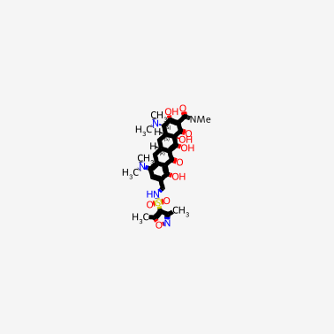 CNC(=O)C1=C(O)[C@@H](N(C)C)[C@@H]2C[C@@H]3Cc4c(N(C)C)cc(CNS(=O)(=O)c5c(C)noc5C)c(O)c4C(=O)C3=C(O)[C@]2(O)C1=O